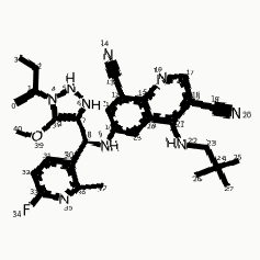 C=C(CC)N1NNC([C@@H](Nc2cc(C#N)c3ncc(C#N)c(NCC(C)(C)C)c3c2)c2ccc(F)nc2C)=C1OC